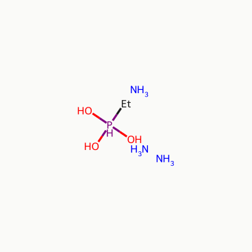 CC[PH](O)(O)O.N.N.N